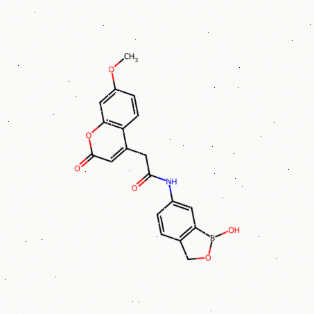 COc1ccc2c(CC(=O)Nc3ccc4c(c3)B(O)OC4)cc(=O)oc2c1